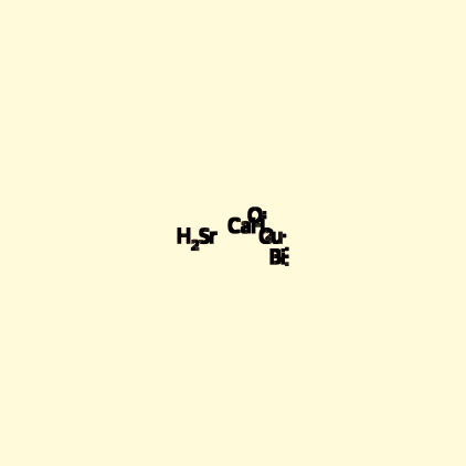 [Bi].[CaH2].[Cu].[O].[SrH2]